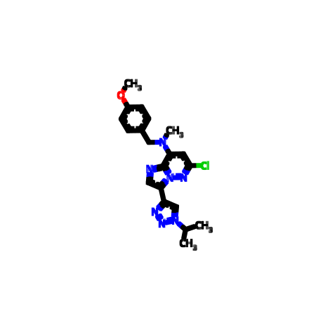 COc1ccc(CN(C)c2cc(Cl)nn3c(-c4cn(C(C)C)nn4)cnc23)cc1